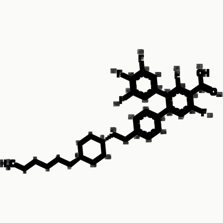 CCCCCC[C@H]1CC[C@H](CCc2ccc(-c3cc(F)c(C(=O)O)c(F)c3-c3cc(F)c(F)c(F)c3)cc2)CC1